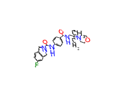 CC(C)(CNC(=O)c1ccc(NC(=O)N2Cc3ccc(F)cc3C2)cc1)N1CCOCC1